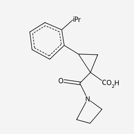 CC(C)c1ccccc1C1CC1(C(=O)O)C(=O)N1CCC1